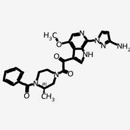 COc1cnc(-n2ccc(N)n2)c2[nH]cc(C(=O)C(=O)N3CCN(C(=O)c4ccccc4)[C@H](C)C3)c12